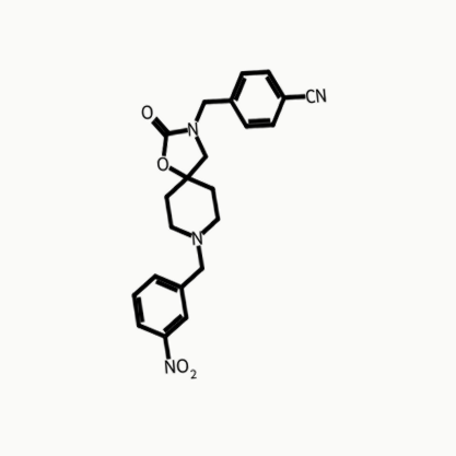 N#Cc1ccc(CN2CC3(CCN(Cc4cccc([N+](=O)[O-])c4)CC3)OC2=O)cc1